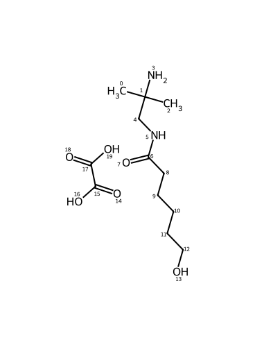 CC(C)(N)CNC(=O)CCCCCO.O=C(O)C(=O)O